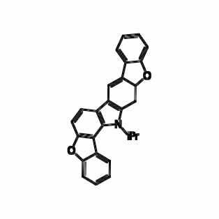 CC(C)n1c2c(c3ccc4oc5ccccc5c4c31)C=C1c3ccccc3OC1C2